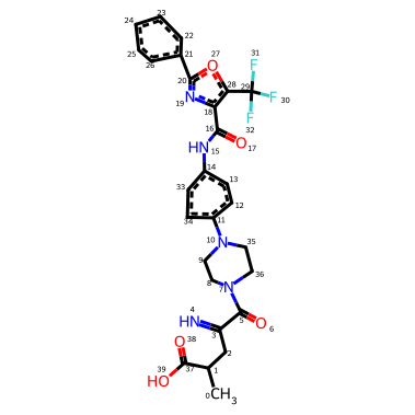 CC(CC(=N)C(=O)N1CCN(c2ccc(NC(=O)c3nc(-c4ccccc4)oc3C(F)(F)F)cc2)CC1)C(=O)O